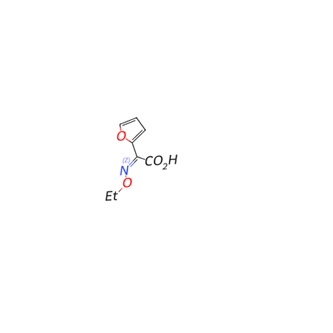 CCO/N=C(\C(=O)O)c1ccco1